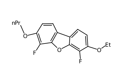 CCCOc1ccc2c(oc3c(F)c(OCC)ccc32)c1F